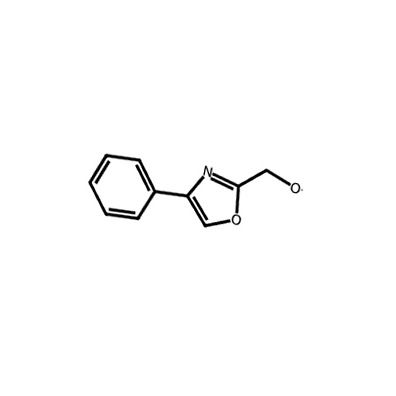 [O]Cc1nc(-c2ccccc2)co1